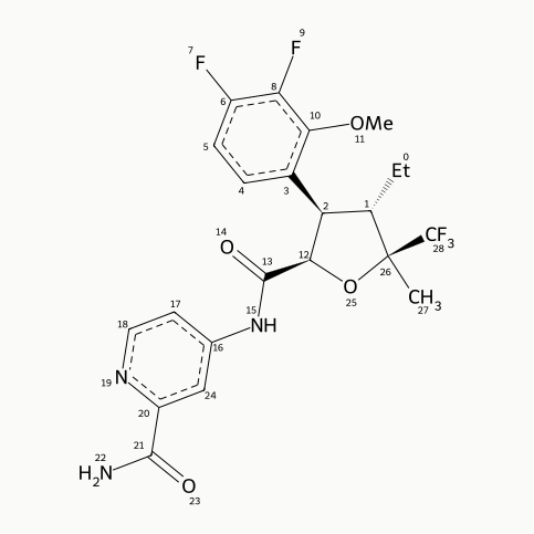 CC[C@H]1[C@H](c2ccc(F)c(F)c2OC)[C@H](C(=O)Nc2ccnc(C(N)=O)c2)O[C@]1(C)C(F)(F)F